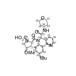 CO[C@@H]1C[C@H](C(=O)N(c2ccc(C(C)(C)C)cc2)C(C(=O)NC2CCOCC2)c2cccnc2)N(C(=O)O)C1